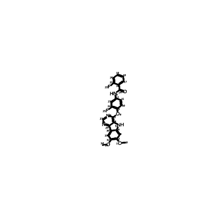 COc1cc2[nH]c3c(Oc4ccc(NC(=O)c5ccccc5F)cc4F)ncnc3c2cc1OC